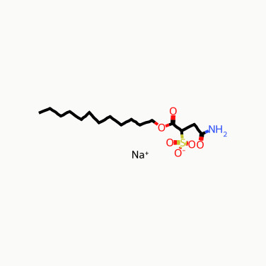 CCCCCCCCCCCCOC(=O)C(CC(N)=O)S(=O)(=O)[O-].[Na+]